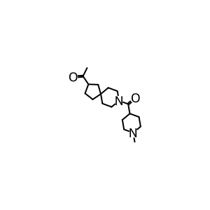 CC(=O)C1CCC2(CCN(C(=O)C3CCN(C)CC3)CC2)C1